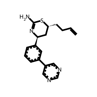 C=CCC[C@@H]1C[C@@H](c2cccc(-c3cncnc3)c2)N=C(N)S1